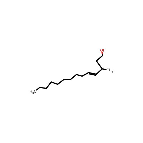 CCCCCCCCCC=CC(C)CCO